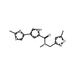 Cc1cc(CN(C)C(=O)c2cc(-c3csc(C)n3)c[nH]2)no1